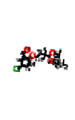 C[SiH2]OC(O[SiH2]C)C(C)(C)CCOc1ccc(Cl)cc1C=O